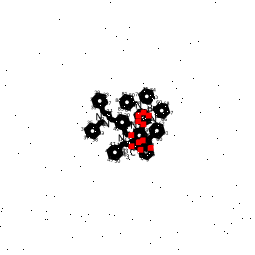 CC1(C)c2ccccc2-c2cc3c4ccccc4n(-c4ccc(-c5cc(-c6ccccc6)nc(-c6ccccc6)n5)cc4-c4nc(-c5ccccc5)cc(-c5cccc(-c6cccc(N7c8ccccc8B8c9ccccc9N(c9ccccc9)c9cccc7c98)c6)c5)n4)c3cc21